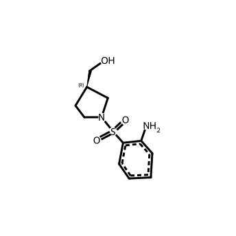 Nc1ccccc1S(=O)(=O)N1CC[C@@H](CO)C1